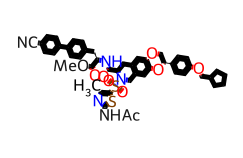 COC(=O)[C@H](Cc1ccc(-c2ccc(C#N)cc2)cc1)NC(=O)C1Cc2cc3c(cc2CN1S(=O)(=O)c1sc(NC(C)=O)nc1C)O[C@@H](c1ccc(OCC2CCCC2)cc1)CO3